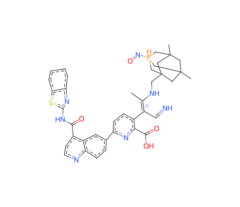 C/C(NCC12CC3(C)CC(C)(C1)C[PH](N=O)(C3)C2)=C(/C=N)c1ccc(-c2ccc3nccc(C(=O)Nc4nc5ccccc5s4)c3c2)nc1C(=O)O